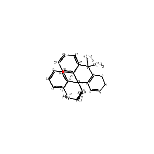 CC1(C)C2=C(C=CCC2)C2(c3ccccc3Nc3ccccc32)c2ccccc21